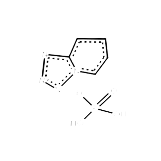 O=P(O)(O)O.c1ccn2nnnc2c1